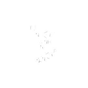 Cc1ccc([C@@]2(c3ncns3)CCN(C(=O)Nc3cc(C4CC4)ccc3CN3CCC(F)(F)C3)C2)cc1F